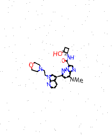 CNc1cc(-c2cn(CCN3CCOCC3)c3ncccc23)nn2c(C(=O)N[C@@H]3CC[C@@H]3O)cnc12